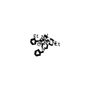 CCc1ccccc1CS(=O)(=O)C1CN(Cc2ccccc2)CCN1[SH]1(N2CCN(CC)CC2)[C]=CN=C1